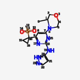 CC1COCCN1c1cc(C2(S(C)(=O)=O)CC2)nc(Nc2ccn[nH]2)n1